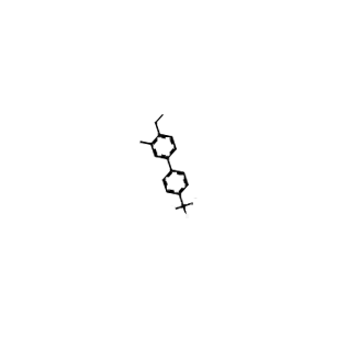 CCc1ccc(-c2ccc(C(F)(F)F)cc2)cc1C